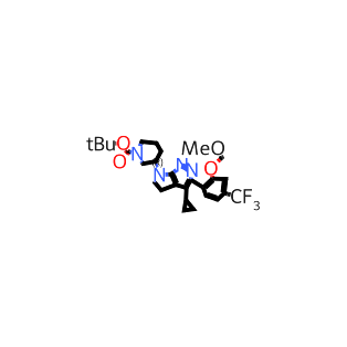 COCOc1cc(C(F)(F)F)ccc1-c1nnc2c(c1C1CC1)CCN2[C@@H]1CCCN(C(=O)OC(C)(C)C)C1